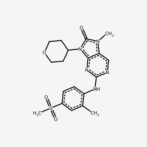 Cc1cc(S(C)(=O)=O)ccc1Nc1ncc2c(n1)n(C1CCOCC1)c(=O)n2C